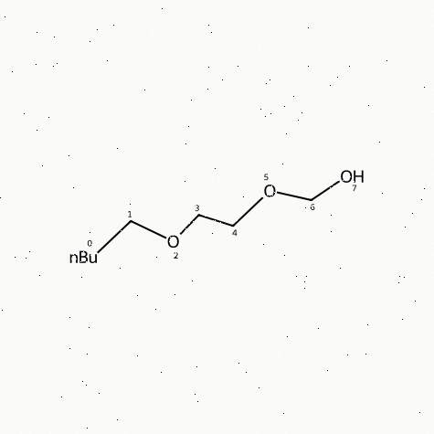 CCCCCOCCOCO